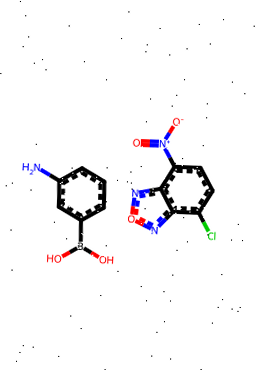 Nc1cccc(B(O)O)c1.O=[N+]([O-])c1ccc(Cl)c2nonc12